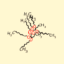 CCCCCCCCOC(CCC)=C(OCCCCCCCC)C(OCCCCCCC)OC(OCCCCCCC)C(OCCCCCCCC)=C(CCC)OCCCCCCCC